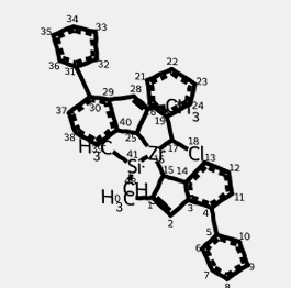 CC1=Cc2c(-c3ccccc3)cccc2[CH]1[Zr]([CH](Cl)c1ccccc1)([CH]1C(C)=Cc2c(-c3ccccc3)cccc21)[Si](C)C